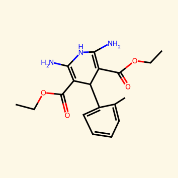 CCOC(=O)C1=C(N)NC(N)=C(C(=O)OCC)C1c1ccccc1C